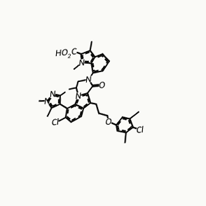 Cc1cc(OCCCc2c3n(c4c(-c5c(C)nn(C)c5C)c(Cl)ccc24)C(C)CN(c2cccc4c(C)c(C(=O)O)n(C)c24)C3=O)cc(C)c1Cl